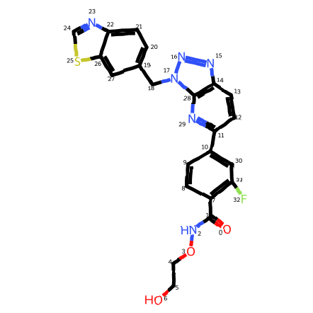 O=C(NOCCO)c1ccc(-c2ccc3nnn(Cc4ccc5ncsc5c4)c3n2)cc1F